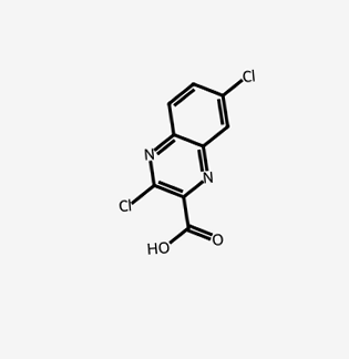 O=C(O)c1nc2cc(Cl)ccc2nc1Cl